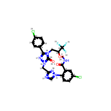 CNC(=O)c1cc(Cl)ccc1-n1cnc(Cn2nc(-c3ccc(Cl)cc3)n(CC(O)C(F)(F)F)c2=O)n1